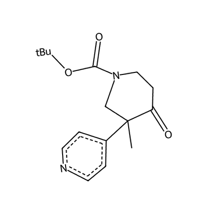 CC(C)(C)OC(=O)N1CCC(=O)C(C)(c2ccncc2)C1